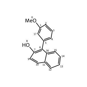 COc1cccc(-c2c(O)ccc3ccccc23)c1